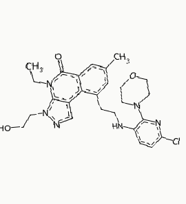 CCn1c(=O)c2cc(C)cc(CCNc3ccc(Cl)nc3N3CCOCC3)c2c2cnn(CCO)c21